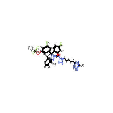 O=C(NCCCCCC1=NCN=N1)N[C@](Cc1ccccc1)(c1ccc(F)cc1)c1cc(F)cc(OC(F)(F)C(F)(F)F)c1